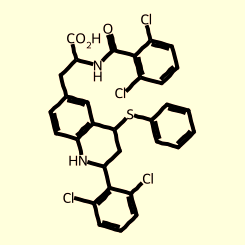 O=C(NC(Cc1ccc2c(c1)C(Sc1ccccc1)CC(c1c(Cl)cccc1Cl)N2)C(=O)O)c1c(Cl)cccc1Cl